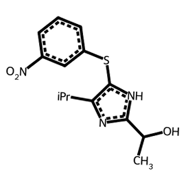 CC(C)c1nc(C(C)O)[nH]c1Sc1cccc([N+](=O)[O-])c1